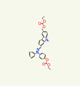 CCOC(=O)OCc1ccc2c(c1)c1ccc(C=NN(c3ccccc3)c3ccc(OC(=O)OCC)cc3)cc1n2C